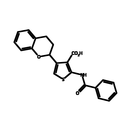 O=C(Nc1scc(C2CCc3ccccc3O2)c1C(=O)O)c1ccccc1